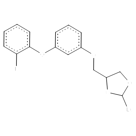 CCC1OCC(COc2cccc(Oc3ccccc3F)c2)O1